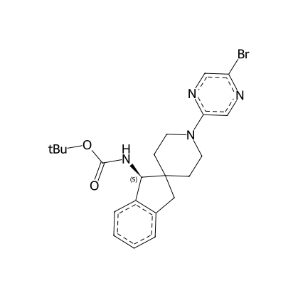 CC(C)(C)OC(=O)N[C@@H]1c2ccccc2CC12CCN(c1cnc(Br)cn1)CC2